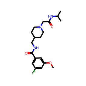 COc1cc(F)cc(C(=O)NCC2CCN(CC(=O)NC(C)C)CC2)c1